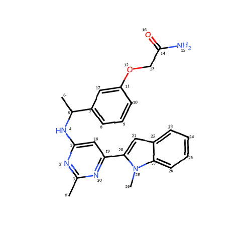 Cc1nc(NC(C)c2cccc(OCC(N)=O)c2)cc(-c2cc3ccccc3n2C)n1